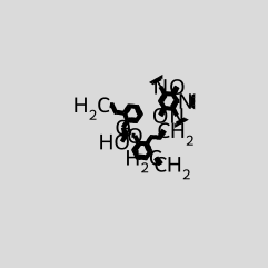 C=C.C=CCc1ccccc1OP(O)Oc1ccccc1CC=C.O=C1C=C(N2CC2)C(=O)C(N2CC2)=C1N1CC1